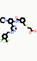 O=C(O)CCSCc1cccc(C(=O)Nc2ccc(N3CCCCC3)cc2-c2cc(NCc3ccc(Cl)c(C(F)(F)F)c3)ncn2)c1